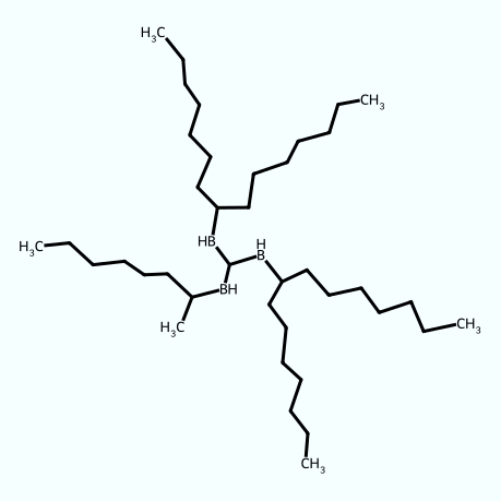 CCCCCCCC(BC(BC(C)CCCCCC)BC(CCCCCCC)CCCCCCC)CCCCCCC